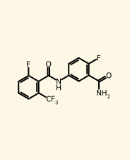 NC(=O)c1cc(NC(=O)c2c(F)cccc2C(F)(F)F)ccc1F